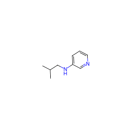 CC(C)CNc1cccnc1